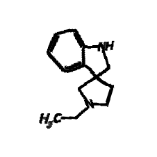 CCN1CCC2(CNc3ccccc32)C1